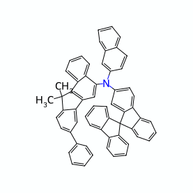 CC1(C)c2ccc(-c3ccccc3)cc2-c2cc(N(c3ccc4c(c3)C3(c5ccccc5-c5ccccc53)c3ccccc3-4)c3ccc4ccccc4c3)c3ccccc3c21